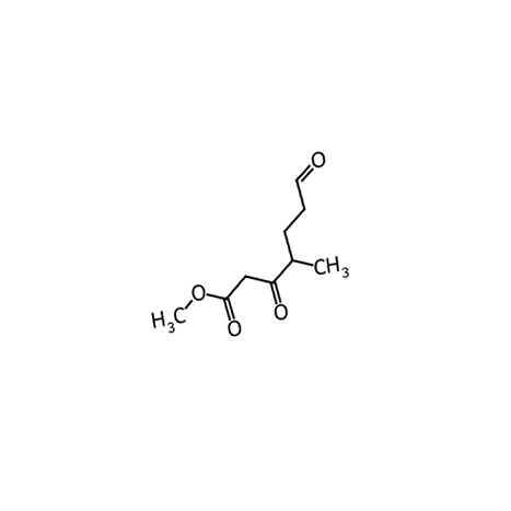 COC(=O)CC(=O)C(C)CCC=O